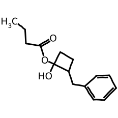 CCCC(=O)OC1(O)CCC1Cc1ccccc1